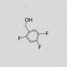 O[CH]c1cc(F)c(F)cc1F